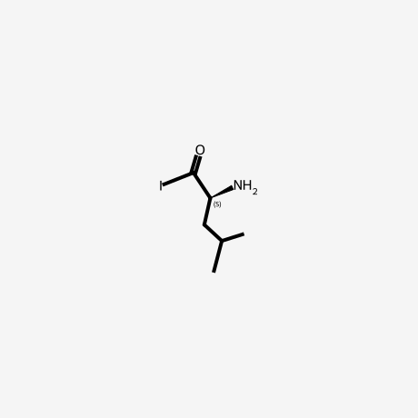 CC(C)C[C@H](N)C(=O)I